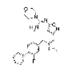 CC(=Cc1cc(N=C(N)N2CCOCC2)on1)Cc1ccc(-c2ccccc2)c(F)c1